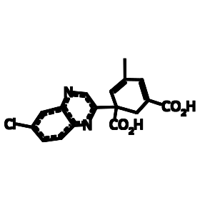 CC1=CC(C(=O)O)(c2cnc3cc(Cl)ccc3n2)CC(C(=O)O)=C1